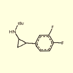 CC(C)(C)NC1CC1c1ccc(F)c(F)c1